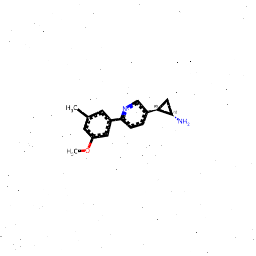 COc1cc(C)cc(-c2ccc([C@H]3C[C@@H]3N)cn2)c1